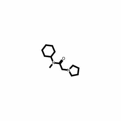 CN(C(=O)CN1CCCC1)C1CCCCC1